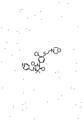 CC1(C)C(=O)N(c2ccc(SCCN3CCOCC3)c(Cl)c2)C(=O)N1Cc1ccncc1